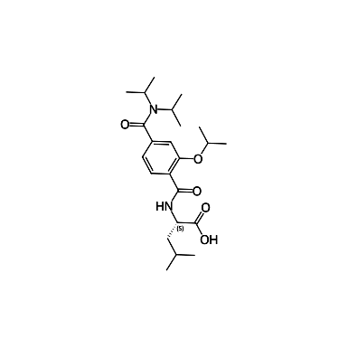 CC(C)C[C@H](NC(=O)c1ccc(C(=O)N(C(C)C)C(C)C)cc1OC(C)C)C(=O)O